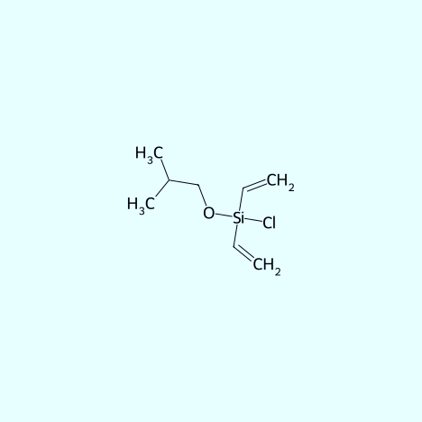 C=C[Si](Cl)(C=C)OCC(C)C